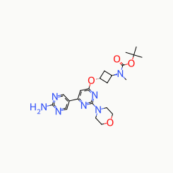 CN(C(=O)OC(C)(C)C)[C@H]1C[C@H](Oc2cc(-c3cnc(N)nc3)nc(N3CCOCC3)n2)C1